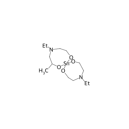 CCN1CC[O][Sn]2([O]CC1)[O]CCN(CC)CC(C)[O]2